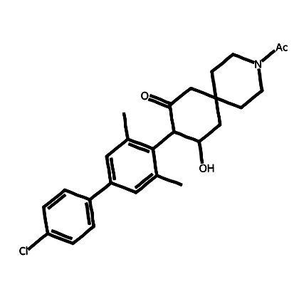 CC(=O)N1CCC2(CC1)CC(=O)C(c1c(C)cc(-c3ccc(Cl)cc3)cc1C)C(O)C2